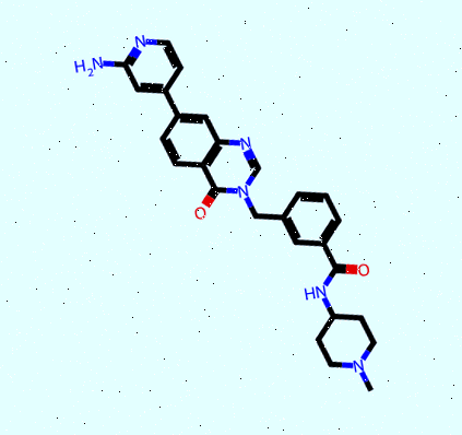 CN1CCC(NC(=O)c2cccc(Cn3cnc4cc(-c5ccnc(N)c5)ccc4c3=O)c2)CC1